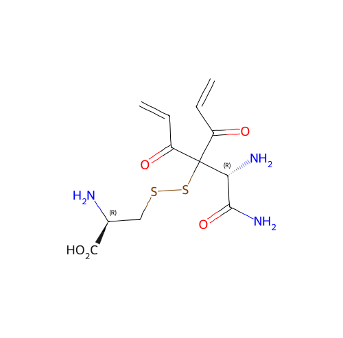 C=CC(=O)C(SSC[C@H](N)C(=O)O)(C(=O)C=C)[C@H](N)C(N)=O